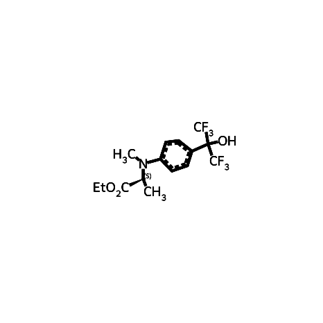 CCOC(=O)[C@H](C)N(C)c1ccc(C(O)(C(F)(F)F)C(F)(F)F)cc1